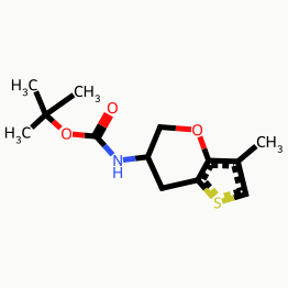 Cc1csc2c1OCC(NC(=O)OC(C)(C)C)C2